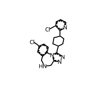 Clc1ccc2c(c1)CNCc1nnc(C3CCC(c4ncccc4Cl)CC3)n1-2